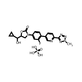 Cn1nnc(-c2ccc(-c3ccc(N4CC(C(O)C5CC5)OC4=O)cc3F)cn2)n1.O=P(O)(O)O